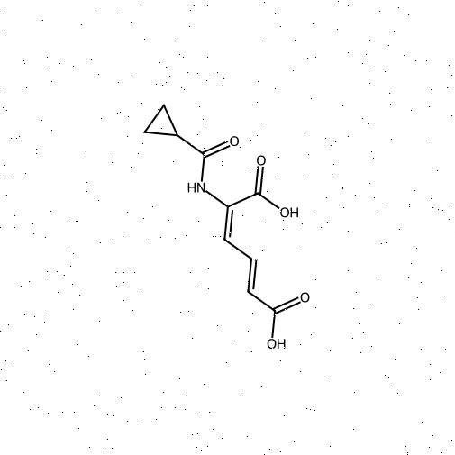 O=C(O)C=CC=C(NC(=O)C1CC1)C(=O)O